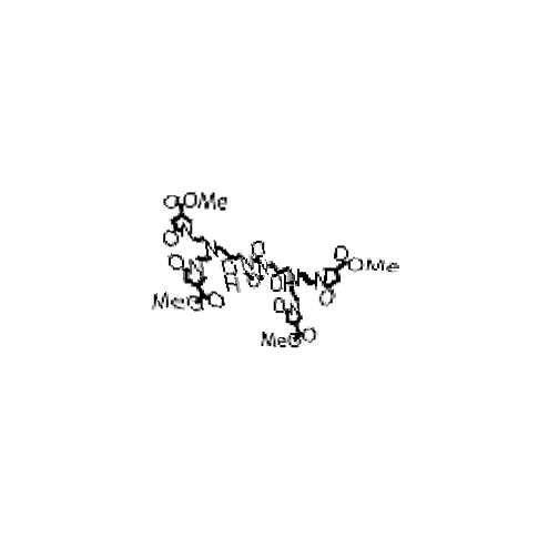 COC(=O)C1CC(=O)N(CCN(CCN2CC(C(=O)OC)CC2=O)CC(O)CN2COCN(CC(O)CN(CCN3CC(C(=O)OC)CC3=O)CCN3CC(C(=O)OC)CC3=O)C2=O)C1